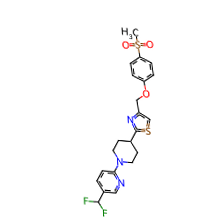 CS(=O)(=O)c1ccc(OCc2csc(C3CCN(c4ccc(C(F)F)cn4)CC3)n2)cc1